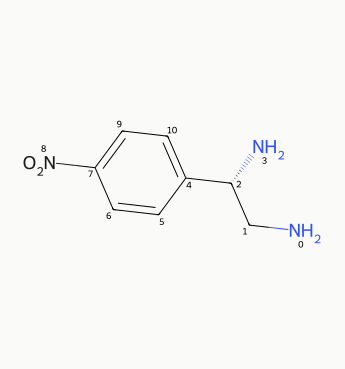 NC[C@@H](N)c1ccc([N+](=O)[O-])cc1